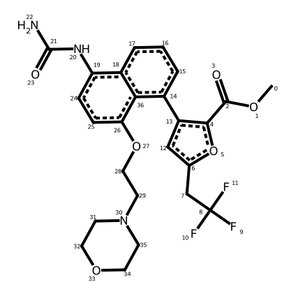 COC(=O)c1oc(CC(F)(F)F)cc1-c1cccc2c(NC(N)=O)ccc(OCCN3CCOCC3)c12